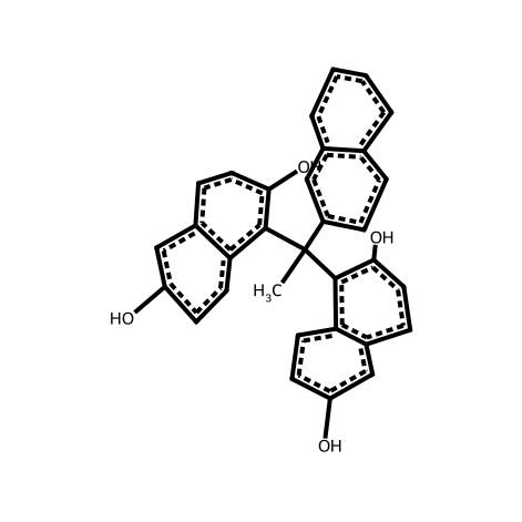 CC(c1ccc2ccccc2c1)(c1c(O)ccc2cc(O)ccc12)c1c(O)ccc2cc(O)ccc12